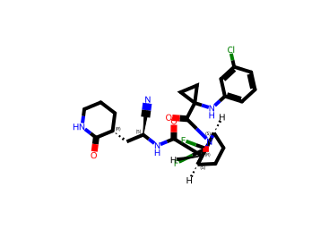 N#C[C@H](C[C@H]1CCCNC1=O)NC(=O)[C@H]1[C@@H]2CC[C@@H](CC2(F)F)N1C(=O)C1(Nc2cccc(Cl)c2)CC1